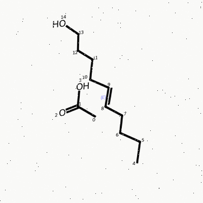 CC(=O)O.CCCC/C=C/CCCCO